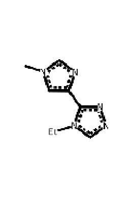 CCn1cnnc1-c1cn(C)cn1